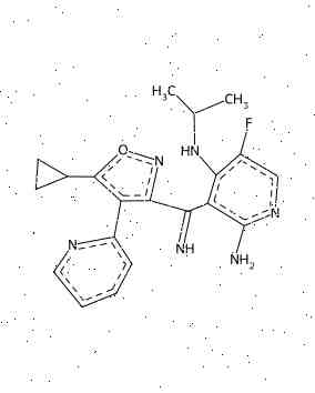 CC(C)Nc1c(F)cnc(N)c1C(=N)c1noc(C2CC2)c1-c1ccccn1